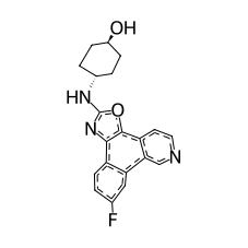 O[C@H]1CC[C@H](Nc2nc3c4ccc(F)cc4c4cnccc4c3o2)CC1